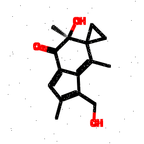 CC1=C(CO)C2=C(C)C3(CC3)[C@](C)(O)C(=O)C2=C1